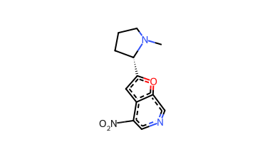 CN1CCC[C@H]1c1cc2c([N+](=O)[O-])cncc2o1